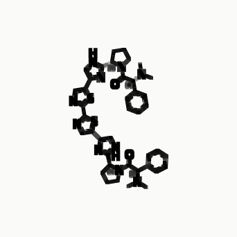 CN(C)[C@@H](C(=O)N1CCC[C@H]1c1nc(-c2cnc(-c3ncc(-c4c[nH]c([C@@H]5CCCN5C(=O)[C@@H](c5ccccc5)N(C)C)n4)s3)s2)c[nH]1)c1ccccc1